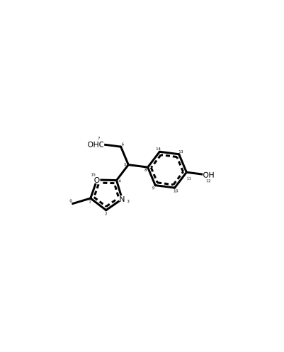 Cc1cnc(C(CC=O)c2ccc(O)cc2)o1